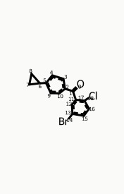 O=C(c1ccc(C2CC2)cc1)c1cc(Br)ccc1Cl